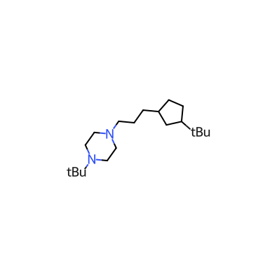 CC(C)(C)C1CCC(CCCN2CCN(C(C)(C)C)CC2)C1